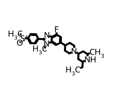 CCC1CC(N2CCC(c3cc(F)c4nc(-c5ccc([S+](C)[O-])cc5)n(C)c4c3)CC2)CC(C)N1